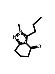 CCCc1c2c(nn1C)CCCC2=O